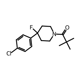 CC(C)(C)C(=O)N1CCC(F)(c2ccc(Cl)cc2)CC1